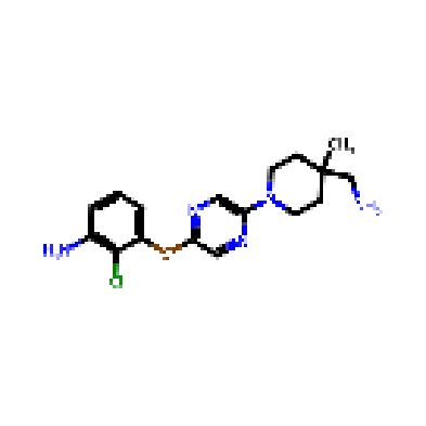 CC1(CN)CCN(c2cnc(Sc3cccc(N)c3Cl)cn2)CC1